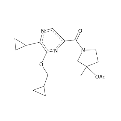 CC(=O)OC1(C)CCN(C(=O)c2cnc(C3CC3)c(OCC3CC3)n2)C1